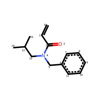 C=CC(=O)N(Cc1ccccc1)CC(C)C